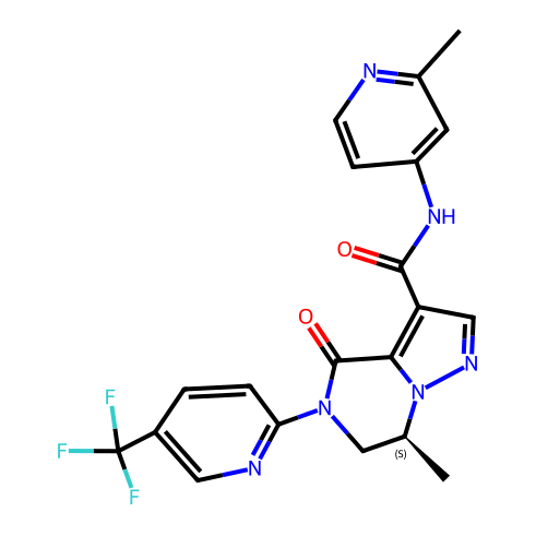 Cc1cc(NC(=O)c2cnn3c2C(=O)N(c2ccc(C(F)(F)F)cn2)C[C@@H]3C)ccn1